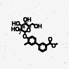 COC(=O)c1cccc(-c2ccc(OC3O[C@H](CO)[C@@H](O)[C@H](O)[C@]3(C)O)c(C)c2)c1